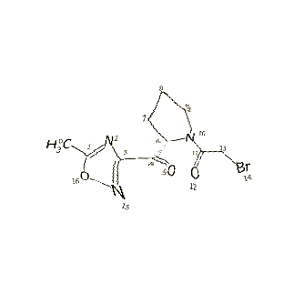 Cc1nc(C(=O)[C@@H]2CCCN2C(=O)CBr)no1